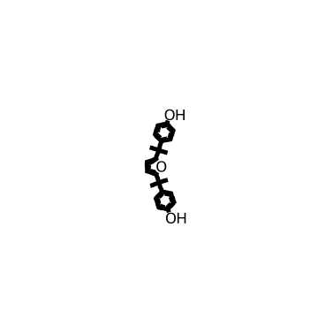 CC(C)(c1ccc(O)cc1)c1ccc(C(C)(C)c2ccc(O)cc2)o1